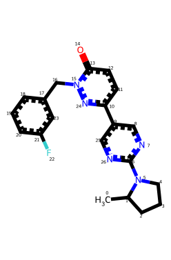 CC1CCCN1c1ncc(-c2ccc(=O)n(Cc3cccc(F)c3)n2)cn1